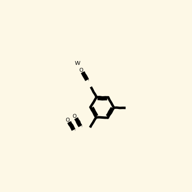 Cc1cc(C)cc(C)c1.[C]=O.[C]=O.[C]=O.[W]